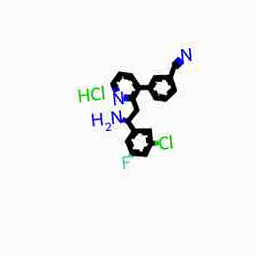 Cl.N#Cc1cccc(-c2cccnc2CC(N)c2cc(F)cc(Cl)c2)c1